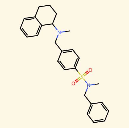 CN(Cc1ccc(S(=O)(=O)N(C)Cc2ccccc2)cc1)C1CCCc2ccccc21